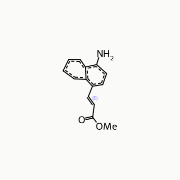 COC(=O)/C=C/c1ccc(N)c2ccccc12